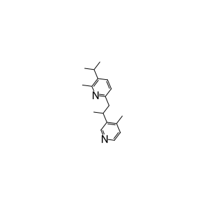 Cc1ccncc1C(C)Cc1ccc(C(C)C)c(C)n1